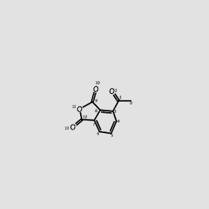 CC(=O)c1cccc2c1C(=O)OC2=O